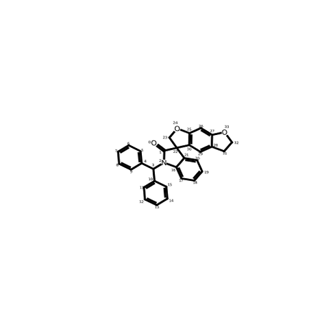 O=C1N(C(c2ccccc2)c2ccccc2)c2ccccc2C12COc1cc3c(cc12)CCO3